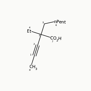 CC#CC(CC)(CCCCCC)C(=O)O